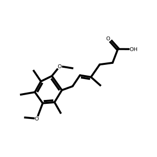 COc1c(C)c(C)c(OC)c(C/C=C(\C)CCC(=O)O)c1C